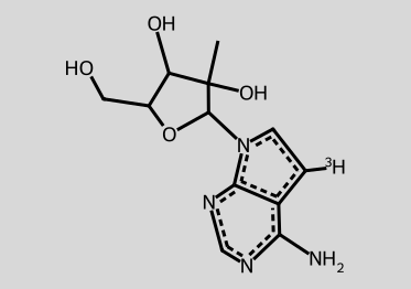 [3H]c1cn(C2OC(CO)C(O)C2(C)O)c2ncnc(N)c12